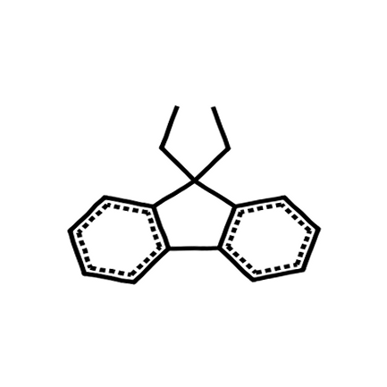 CCC1(CC)c2ccccc2-c2ccccc21